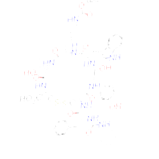 C[C@@H](O)[C@@H]1NC(=O)C(CCCCNC(=O)OC(C)(C)C)NC(=O)[C@@H](Cc2c[nH]c3ccccc23)NC(O)[C@H](Cc2ccc(O)cc2)NC(=O)[C@@H](NC(=O)[C@@H](Cc2ccccc2)NC(=O)NC2CCCCC2)CSSC[C@@H](C(=O)O)NC1=O